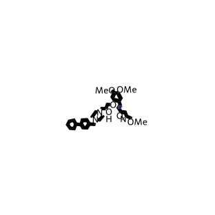 COCc1cc(/C=C/c2cc(OC)c(OC)cc2OCC(O)CN2CCN(Cc3ccc(C4CCCCC4)cc3)CC2)on1